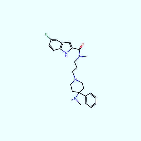 CN(CCCN1CCC(c2ccccc2)(N(C)C)CC1)C(=O)c1cc2cc(F)ccc2[nH]1